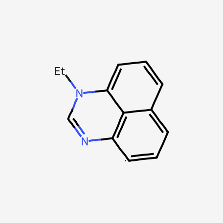 CCN1C=Nc2[c]ccc3cccc1c23